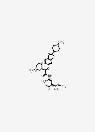 C=N/C(C)=C(\C=C(/C)NC(=O)C(=O)N1C[C@@H](C)CC[C@@H]1c1ccc2sc(C3CCN(C)CC3)nc2c1)C(F)F